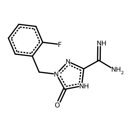 N=C(N)c1nn(Cc2ccccc2F)c(=O)[nH]1